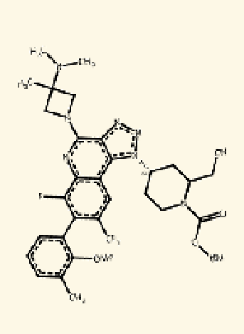 COc1c(C)cccc1-c1c(C(F)(F)F)cc2c(nc(N3CC(C)(N(C)C)C3)c3nnn([C@H]4CCN(C(=O)OC(C)(C)C)C(CC#N)C4)c32)c1F